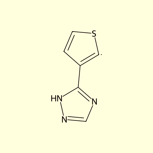 [c]1sccc1-c1ncn[nH]1